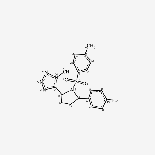 Cc1ccc(S(=O)(=O)N2C(c3ccc(F)cc3)CCC2c2nnnn2C)cc1